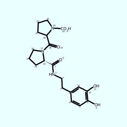 O=C(NCCc1ccc(O)c(O)c1)[C@@H]1CCCN1C(=O)C1CCCN1C(=O)O